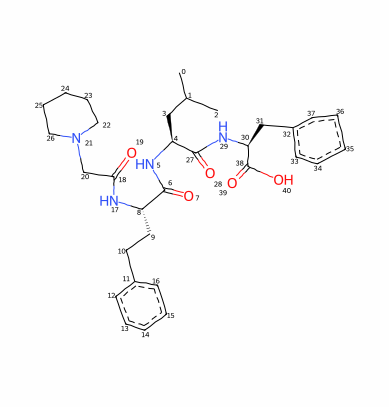 CC(C)C[C@H](NC(=O)[C@H](CCc1ccccc1)NC(=O)CN1CCCCC1)C(=O)N[C@@H](Cc1ccccc1)C(=O)O